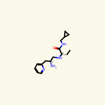 CC[C@H](NC[C@@H](N)Cc1ccccn1)C(=O)NCC1CC1